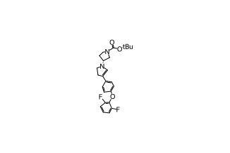 CC(C)(C)OC(=O)N1CC[C@@H](N2C=C(c3ccc(Oc4c(F)cccc4F)cc3)CC2)C1